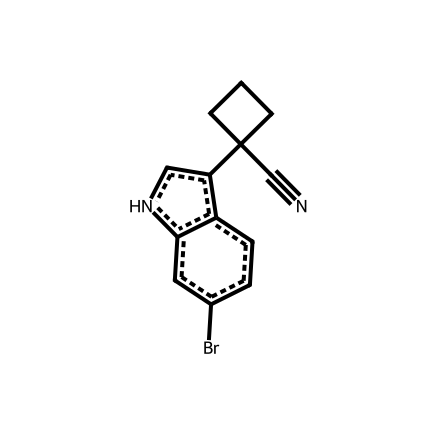 N#CC1(c2c[nH]c3cc(Br)ccc23)CCC1